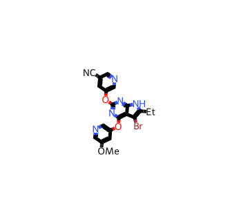 CCc1[nH]c2nc(Oc3cncc(C#N)c3)nc(Oc3cncc(OC)c3)c2c1Br